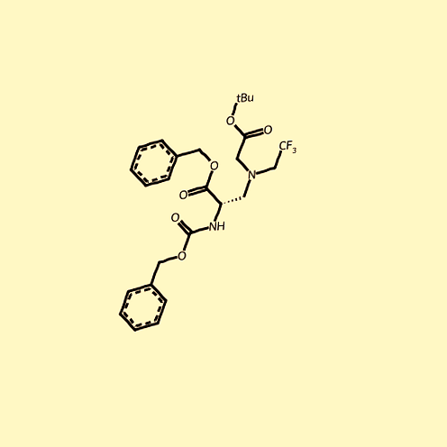 CC(C)(C)OC(=O)CN(C[C@H](NC(=O)OCc1ccccc1)C(=O)OCc1ccccc1)CC(F)(F)F